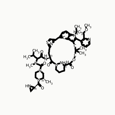 CCn1c(-c2cccnc2[C@H](C)OC)c2c3cc(ccc31)-c1csc(n1)C[C@H](NC(=O)C(C(C)C)N(C)C(=O)N1CCN(C(=O)[C@H]3CN3)[C@@H](C)C1)C(=O)N1CCC[C@H](N1)C(=O)OCC(C)(C)C2